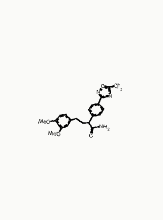 COc1ccc(CCC(C(N)=O)c2ccc(-c3noc(C(F)(F)F)n3)cc2)cc1OC